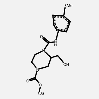 CSc1ccc(NC(=O)N2CCN(C(=O)OC(C)(C)C)CC2CO)cc1